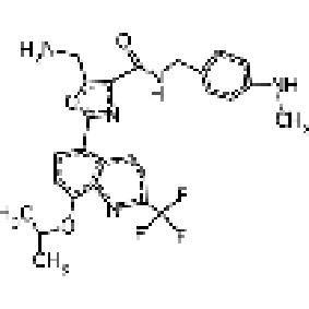 CNc1ccc(CNC(=O)c2nc(-c3ccc(OC(C)C)c4nc(C(F)(F)F)ccc34)oc2CN)cc1